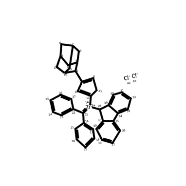 C1=C(C2C3CC4CC(C3)CC2C4)C=[C]([Zr+2](=[C](c2ccccc2)c2ccccc2)[CH]2c3ccccc3-c3ccccc32)C1.[Cl-].[Cl-]